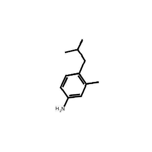 Cc1cc(N)ccc1CC(C)C